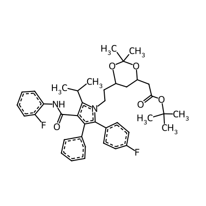 CC(C)c1c(C(=O)Nc2ccccc2F)c(-c2ccccc2)c(-c2ccc(F)cc2)n1CCC1CC(CC(=O)OC(C)(C)C)OC(C)(C)O1